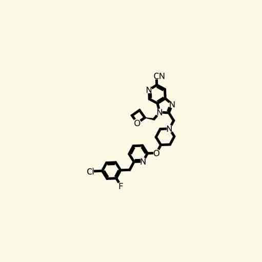 N#Cc1cc2nc(CN3CCC(Oc4cccc(Cc5ccc(Cl)cc5F)n4)CC3)n(C[C@@H]3CCO3)c2cn1